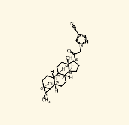 C[C@@H]1C2[C@H]3CC[C@@H]4[C@H](CC[C@]5(C)[C@@H](C(=O)Cn6cc(C#N)cn6)CC[C@@H]45)[C@H]3CC[C@@]21O